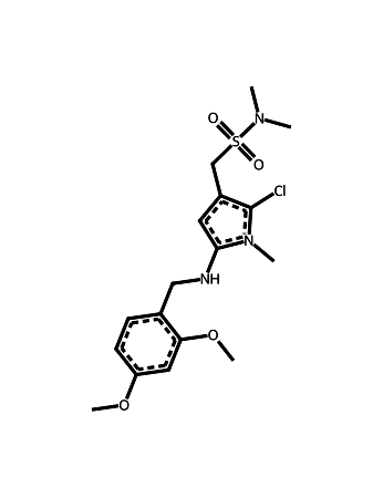 COc1ccc(CNc2cc(CS(=O)(=O)N(C)C)c(Cl)n2C)c(OC)c1